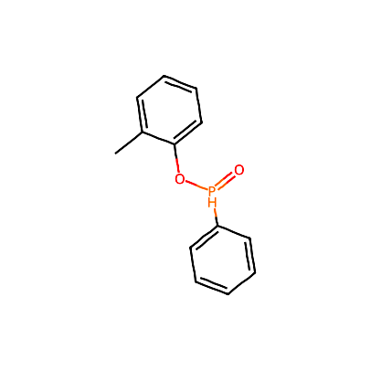 Cc1ccccc1O[PH](=O)c1ccccc1